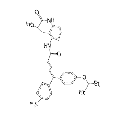 CCC(CC)Oc1ccc(/C(=C\C=C\C(=O)Nc2cccc3c2CC(O)C(=O)N3)c2ccc(C(F)(F)F)cc2)cc1